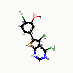 COc1cc(-c2sc3ncnc(Cl)c3c2Br)ccc1F